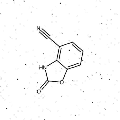 N#Cc1cccc2oc(=O)[nH]c12